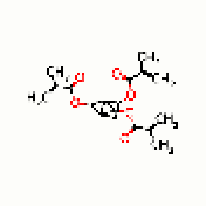 C=C(C)C(=O)OC1CC23C(OC(=O)C(=C)C)C12C3OC(=O)C(=C)C